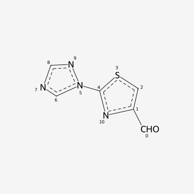 O=Cc1csc(-n2cncn2)n1